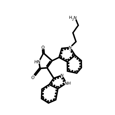 NCCCn1cc(C2=C(c3n[nH]c4ccccc34)C(=O)NC2=O)c2ccccc21